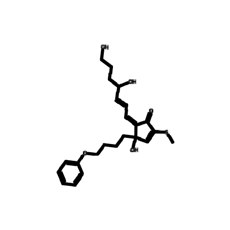 CSC1=CC(O)(CCCCOc2ccccc2)/C(=C/C=C/C(O)CCCO)C1=O